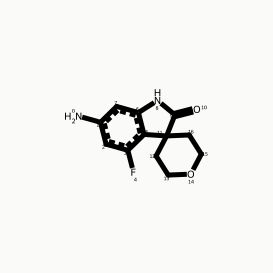 Nc1cc(F)c2c(c1)NC(=O)C21CCOCC1